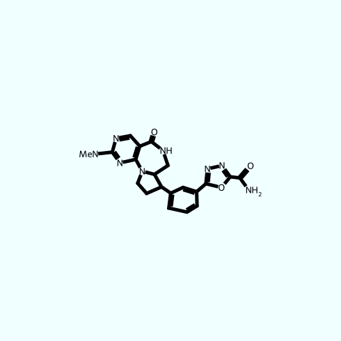 CNc1ncc2c(n1)N1CCC(c3cccc(-c4nnc(C(N)=O)o4)c3)C1CNC2=O